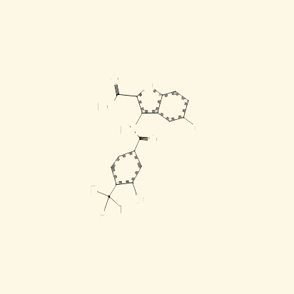 O=C(Nc1c(C(=O)O)oc2ccc(Cl)cc12)c1ccc(C(F)(F)F)c(Br)c1